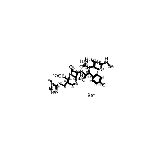 CC(C)Nc1ncc(N(C(N)=O)C(C(=O)NC2C(=O)N3C(C(=O)[O-])=C(CSc4nnnn4C)CS[C@H]23)c2ccc(O)cc2)c(O)n1.[Na+]